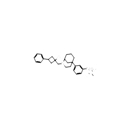 CS(=O)(=O)Nc1cccc(C23CCCC(C2)N(CC2(O)CC(c4ccccc4)C2)CC3)c1